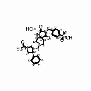 CCC(=O)N1C[C@H](CN2CCC3(CC2)NC(=O)N(Cc2ccc(S(C)(=O)=O)cc2)C3=O)[C@@H](c2ccccc2)C1.Cl